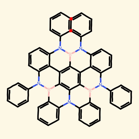 c1ccc(N2B3c4ccccc4N4c5ccccc5B5c6c7c8c(c3c64)-c3c2cccc3N(c2ccccc2)B8N(c2ccccc2)c2cccc(c2-7)N5c2ccccc2)cc1